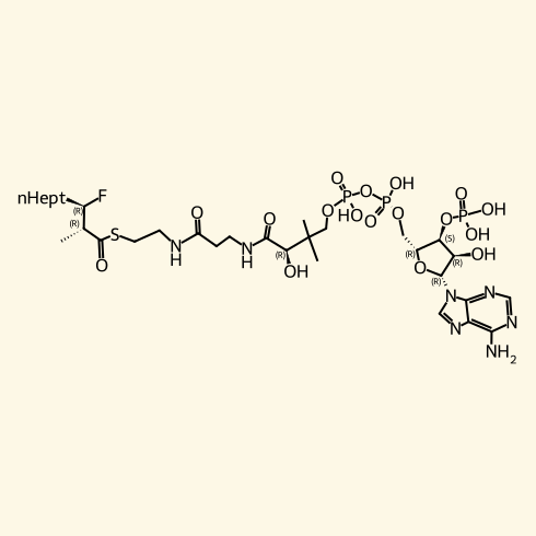 CCCCCCC[C@@H](F)[C@@H](C)C(=O)SCCNC(=O)CCNC(=O)[C@H](O)C(C)(C)COP(=O)(O)OP(=O)(O)OC[C@H]1O[C@@H](n2cnc3c(N)ncnc32)[C@H](O)[C@@H]1OP(=O)(O)O